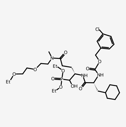 CCOCCOCCN(C)C(=O)CC[C@H](NC(=O)[C@@H](CC1CCCCC1)NC(=O)OCc1cccc(Cl)c1)C(O)P(=O)(OCC)OCC